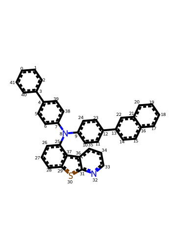 c1ccc(-c2ccc(N(c3ccc(-c4ccc5ccccc5c4)cc3)c3cccc4sc5ncccc5c34)cc2)cc1